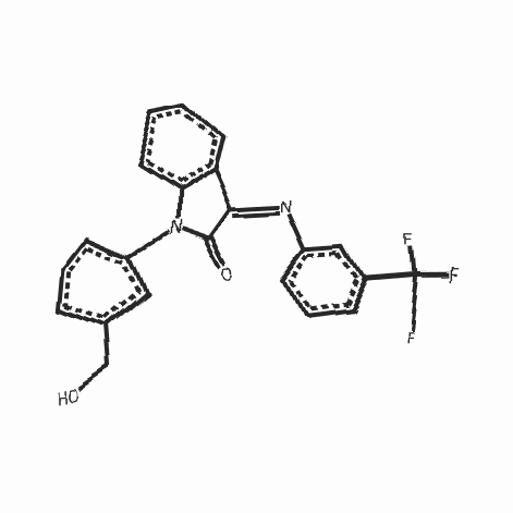 O=C1C(=Nc2cccc(C(F)(F)F)c2)c2ccccc2N1c1cccc(CO)c1